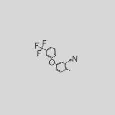 Cc1ccc(Oc2cccc(C(F)(F)F)c2)cc1C#N